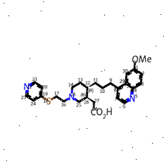 COc1ccc2nccc(CCC[C@@H]3CCN(CCSc4ccncc4)C[C@@H]3CC(=O)O)c2c1